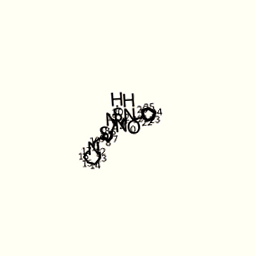 O=C(NC1=NC(c2ccc(CN3CCCCCC3)s2)=N[SH]1)c1ccccc1